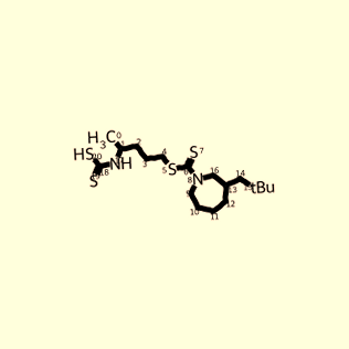 CC(CCCSC(=S)N1CCCCC(CC(C)(C)C)C1)NC(=S)S